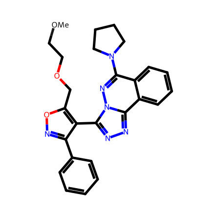 COCCOCc1onc(-c2ccccc2)c1-c1nnc2c3ccccc3c(N3CCCC3)nn12